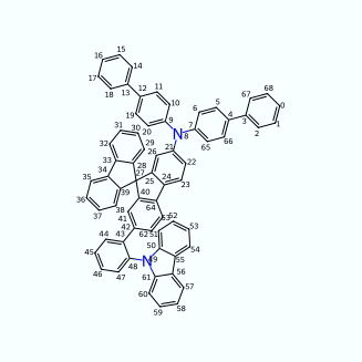 c1ccc(-c2ccc(N(c3ccc(-c4ccccc4)cc3)c3ccc4c(c3)C3(c5ccccc5-c5ccccc53)c3cc(-c5ccccc5-n5c6ccccc6c6ccccc65)ccc3-4)cc2)cc1